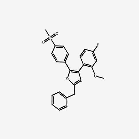 COc1cc(F)ccc1-c1nc(Cc2ccccc2)oc1-c1ccc(S(C)(=O)=O)cc1